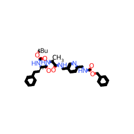 C[C@H](NC(=O)[C@@H](CCc1ccccc1)NC(=O)OC(C)(C)C)C(=O)NCc1ccc(CNC(=O)OCc2ccccc2)nc1